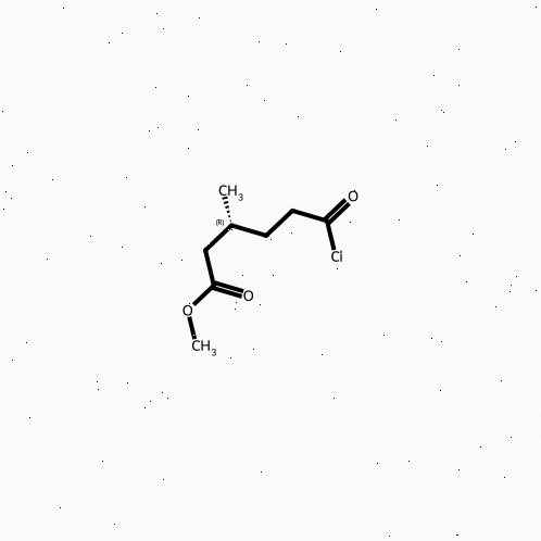 COC(=O)C[C@H](C)CCC(=O)Cl